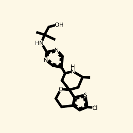 CC1CC2(CC(c3cnc(NC(C)(C)CO)nc3)N1)OCCc1cc(Cl)sc12